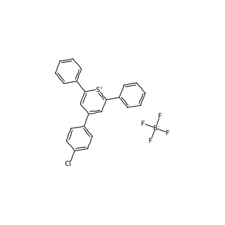 Clc1ccc(-c2cc(-c3ccccc3)[s+]c(-c3ccccc3)c2)cc1.F[B-](F)(F)F